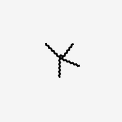 CCCCCCCCCCC1=C(CCCCCCCCCC)C(CCCCCCCCCC)=C(CCCCCCCCC)C1